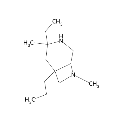 CCCC12CN(C)C1CNC(C)(CC)C2